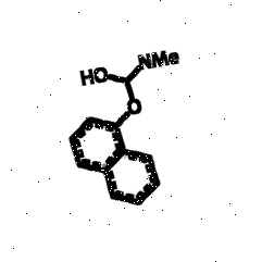 [CH2]NC(O)Oc1cccc2ccccc12